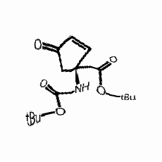 CC(C)(C)OC(=O)N[C@]1(C(=O)OC(C)(C)C)C=CC(=O)C1